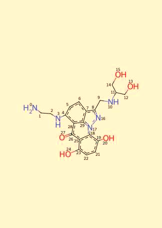 NCCNc1ccc2c(CNC(CO)CO)nn3c4c(O)ccc(O)c4c(=O)c1c23